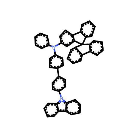 c1ccc(N(c2ccc(-c3ccc(-n4c5ccccc5c5ccccc54)cc3)cc2)c2ccc3c(c2)C2(c4ccccc4-c4ccccc42)c2ccccc2-3)cc1